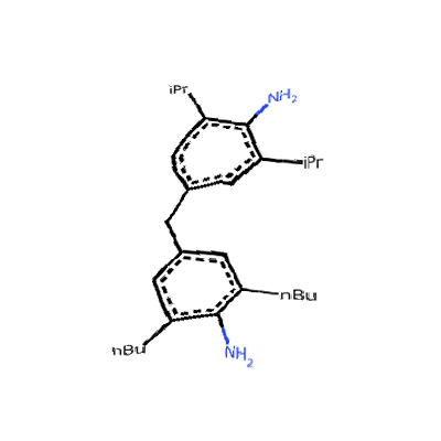 CCCCc1cc(Cc2cc(C(C)C)c(N)c(C(C)C)c2)cc(CCCC)c1N